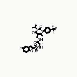 Cc1c(CNC(=O)[C@H](C)NS(=O)(=O)c2cc3cc(F)ccc3o2)c(=O)n(C(C)C)c(=O)n1-c1ccc(C(F)(F)F)cc1